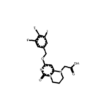 O=C(O)CN1CCCn2c1cc(OCc1cc(F)c(F)c(F)c1)nc2=O